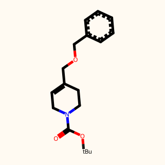 CC(C)(C)OC(=O)N1CC=C(COCc2ccccc2)CC1